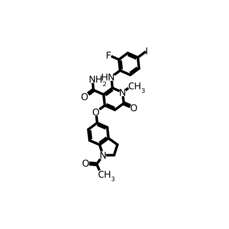 CC(=O)N1CCc2cc(Oc3cc(=O)n(C)c(Nc4ccc(I)cc4F)c3C(N)=O)ccc21